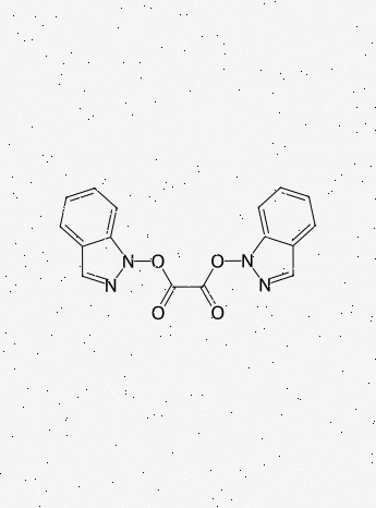 O=C(On1ncc2ccccc21)C(=O)On1ncc2ccccc21